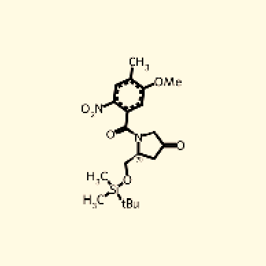 COc1cc(C(=O)N2CC(=O)C[C@H]2CO[Si](C)(C)C(C)(C)C)c([N+](=O)[O-])cc1C